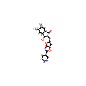 O=C1C(=Cc2cc3oc(-c4cccnc4)nc3o2)C(=O)c2cc(Cl)c(Cl)cc21